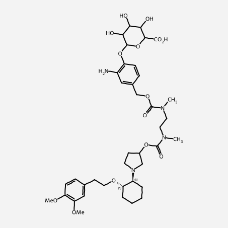 COc1ccc(CCO[C@H]2CCCC[C@@H]2N2CCC(OC(=O)N(C)CCN(C)C(=O)OCc3ccc(OC4OC(C(=O)O)C(O)C(O)C4O)c(N)c3)C2)cc1OC